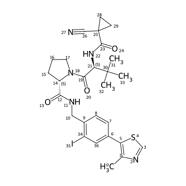 Cc1ncsc1-c1ccc(CNC(=O)[C@@H]2CCCN2C(=O)[C@@H](NC(=O)C2(C#N)CC2)C(C)(C)C)c(I)c1